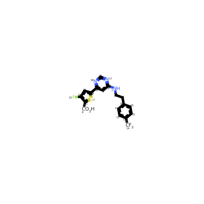 O=C(O)c1sc(-c2cc(NCCc3ccc(C(F)(F)F)cc3)ncn2)cc1F